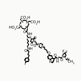 C/N=C/[C@H]1CC(F)(F)CN1C(=O)CNC(=O)c1ccnc2ccc(OCCCCN3CCN(C(=O)CN4C(=O)CC(S[C@H](CCCCCNC(=O)CCCc5ccc(I)cc5)CNC(=O)CN5CCN(CC(=O)O)CCN(CC(=O)O)CCN(CC(=O)O)CC5)C4=O)CC3)cc12